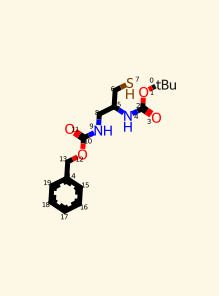 CC(C)(C)OC(=O)NC(CS)CNC(=O)OCc1ccccc1